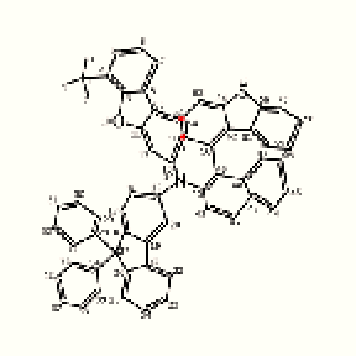 CC(C)(C)c1cccc2c1oc1cc(N(c3ccc4c(c3)-c3ccccc3C4(c3ccccc3)c3ccccc3)c3ccc4ccccc4c3-c3cccc4sc5ccccc5c34)ccc12